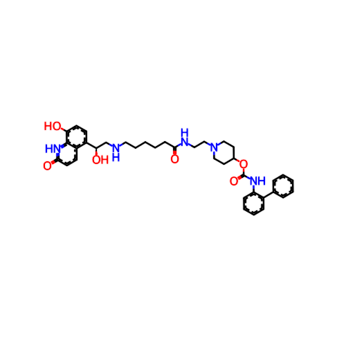 O=C(CCCCCNC[C@@H](O)c1ccc(O)c2[nH]c(=O)ccc12)NCCN1CCC(OC(=O)Nc2ccccc2-c2ccccc2)CC1